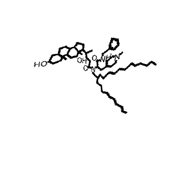 CCCCCCCCCCCCC(CCCCCCCCCC)CN(C(=O)CCC(C)C1CCC2C3CCC4CC(O)CCC4(C)C3CC(O)C12C)C(CC1CCN(C)CC1)C(=O)NCc1ccccc1